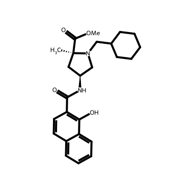 COC(=O)[C@]1(C)C[C@H](NC(=O)c2ccc3ccccc3c2O)CN1CC1CCCCC1